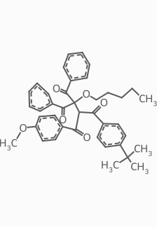 CCCCCOC(C(=O)c1ccccc1)(C(=O)c1ccccc1)C(C(=O)c1ccc(OC)cc1)C(=O)c1ccc(C(C)(C)C)cc1